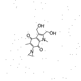 CC1=C(N2CC2)C(=O)c2c(c(CO)c(CO)n2C)C1=O